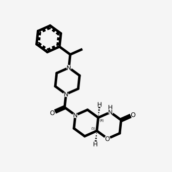 CC(c1ccccc1)N1CCN(C(=O)N2CC[C@@H]3OCC(=O)N[C@@H]3C2)CC1